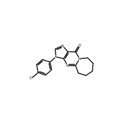 O=c1c2ncn(-c3ccc(Cl)cc3)c2nc2n1CCCCC2